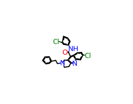 O=C(Nc1cccc(Cl)c1)c1c2c(nc3cc(Cl)ccc13)CCN(CCc1ccccc1)C2